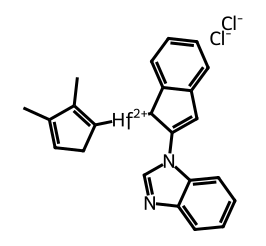 CC1=CC[C]([Hf+2][CH]2C(n3cnc4ccccc43)=Cc3ccccc32)=C1C.[Cl-].[Cl-]